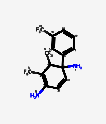 NC1=C(C(F)(F)F)C(C(F)(F)F)C(N)(c2cccc(C(F)(F)F)c2)C=C1